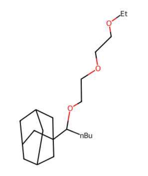 [CH2]CCCC(OCCOCCOCC)C12CC3CC(CC(C3)C1)C2